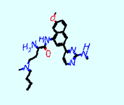 CCCCN(C)CCC(N)C(=O)Nc1cc(-c2ccnc(NC)n2)cc2ccc(OC)cc12